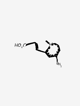 C[n+]1ccc(N)cc1/C=C/C(=O)O